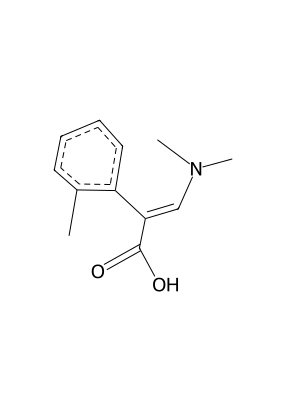 Cc1ccccc1/C(=C\N(C)C)C(=O)O